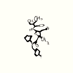 CCC(CC)C(=O)Nc1sc(C(=O)N(Cc2ccc(F)cc2)C2CCCC2)c(C)c1C#N